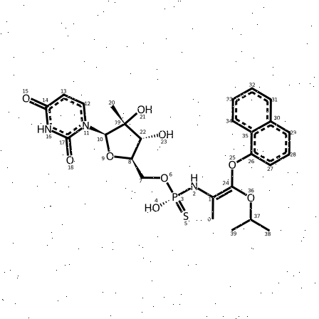 CC(N[P@@](O)(=S)OC[C@H]1O[C@@H](n2ccc(=O)[nH]c2=O)[C@](C)(O)[C@@H]1O)=C(Oc1cccc2ccccc12)OC(C)C